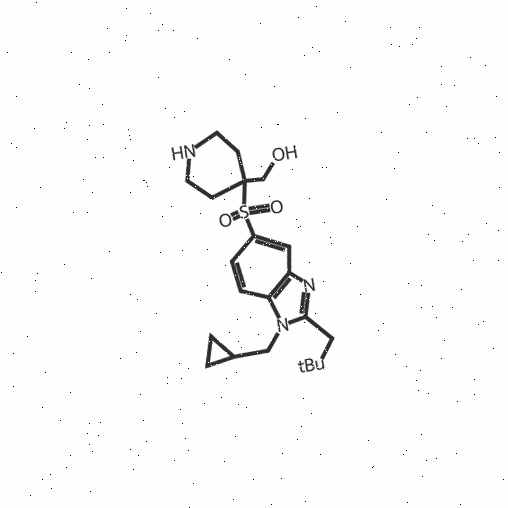 CC(C)(C)Cc1nc2cc(S(=O)(=O)C3(CO)CCNCC3)ccc2n1CC1CC1